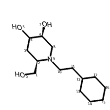 OC[C@H]1CC(O)[C@@H](O)CN1CCC1CCCCC1